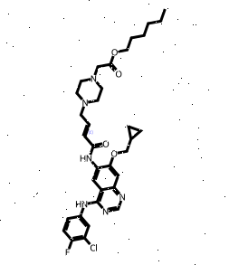 CCCCCCOC(=O)CN1CCN(C/C=C/C(=O)Nc2cc3c(Nc4ccc(F)c(Cl)c4)ncnc3cc2OCC2CC2)CC1